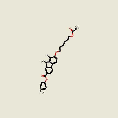 C=CC(=O)OCCCCCCOc1ccc2c(c1C)C(C)c1cc(C(=O)Oc3ccc(C(=O)O)cc3)ccc1-2